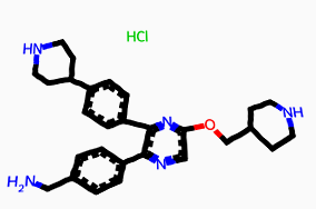 Cl.NCc1ccc(-c2ncc(OCC3CCNCC3)nc2-c2ccc(C3CCNCC3)cc2)cc1